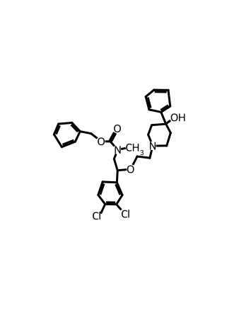 CN(CC(OCCN1CCC(O)(c2ccccc2)CC1)c1ccc(Cl)c(Cl)c1)C(=O)OCc1ccccc1